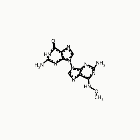 CONc1nc(N)nc2c1ncn2-n1cnc2c(=O)[nH]c(N)nc21